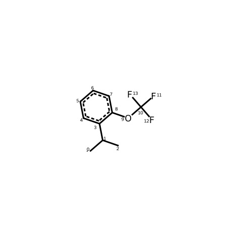 [CH2]C(C)c1ccccc1OC(F)(F)F